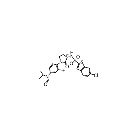 CC(C)N(C=O)c1ccc(N2CC[C@H](NS(=O)(=O)c3cc4ccc(Cl)cc4s3)C2=O)c(F)c1